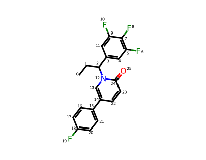 CCC(c1cc(F)c(F)c(F)c1)n1cc(-c2ccc(F)cc2)ccc1=O